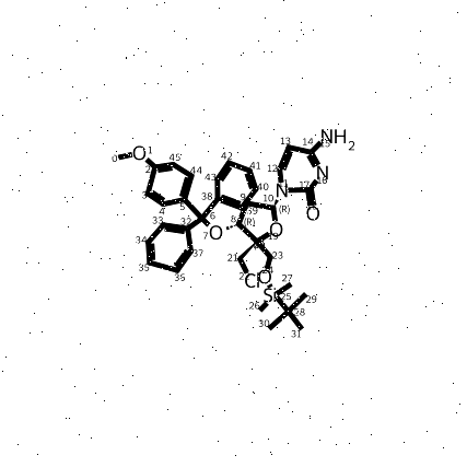 COc1ccc(C(O[C@@H]2C[C@H](n3ccc(N)nc3=O)O[C@]2(CCl)CO[Si](C)(C)C(C)(C)C)(c2ccccc2)c2ccccc2)cc1